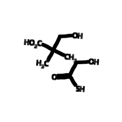 CC(C)(CO)C(=O)O.O=C(S)CO